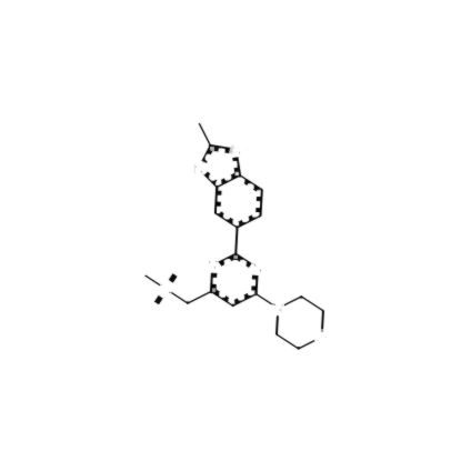 Cc1nc2cc(-c3nc(CS(C)(=O)=O)cc(N4CCOCC4)n3)ccc2[nH]1